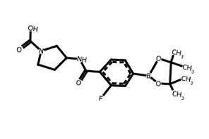 CC1(C)OB(c2ccc(C(=O)NC3CCN(C(=O)O)C3)c(F)c2)OC1(C)C